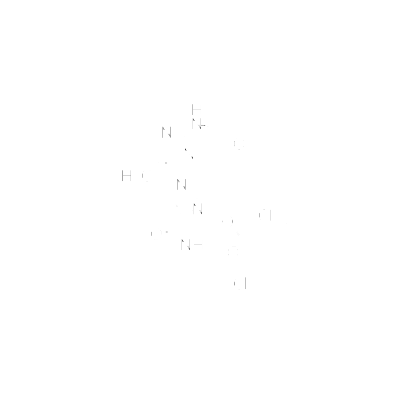 CCC(=O)OCc1c(Cl)cccc1CNC(=O)c1cn(-c2nc(N[C@H]3CCOC3)ncc2C)cn1